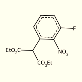 CCOC(=O)C(C(=O)OCC)c1cccc(F)c1[N+](=O)[O-]